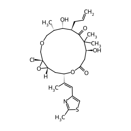 C=CC[C@H]1C(=O)C(C)(C)[C@@H](O)CC(=O)O[C@H](C(C)=Cc2csc(C)n2)C[C@@H]2O[C@]2(Cl)COC[C@H](C)[C@@H]1O